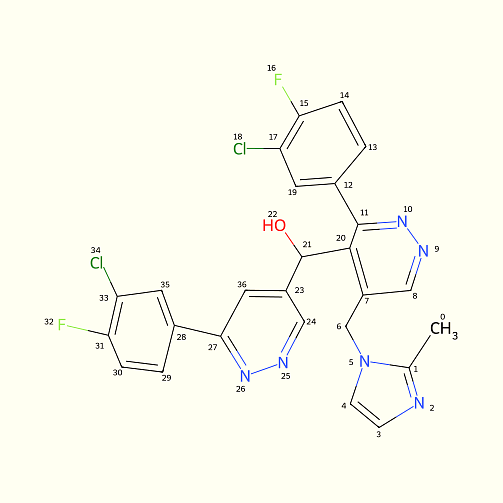 Cc1nccn1Cc1cnnc(-c2ccc(F)c(Cl)c2)c1C(O)c1cnnc(-c2ccc(F)c(Cl)c2)c1